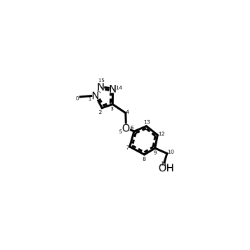 Cn1cc(COc2ccc(CO)cc2)nn1